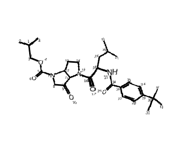 CC(C)COC(=O)N1CC(=O)C2C1CCN2C(=O)C(CC(C)C)NC(=O)c1ccc(C(C)(C)C)cc1